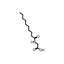 CCCCCCCCCC(=O)NCC(=O)O